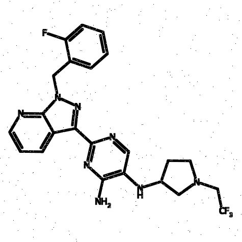 Nc1nc(-c2nn(Cc3ccccc3F)c3ncccc23)ncc1NC1CCN(CC(F)(F)F)C1